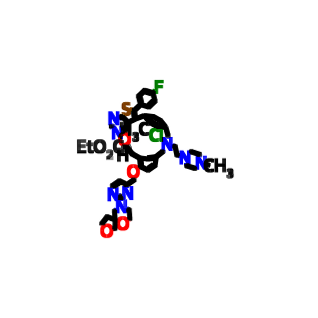 CCOC(=O)[C@H]1Cc2cc(ccc2OCc2ccnc(N3CCOC4(CCOC4)C3)n2)CN(CCN2CCN(C)CC2)Cc2ccc(c(C)c2Cl)-c2c(-c3ccc(F)cc3)sc3ncnc(c23)O1